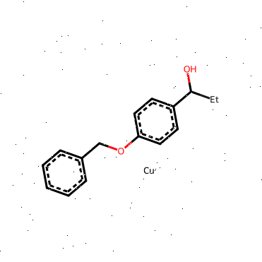 CCC(O)c1ccc(OCc2ccccc2)cc1.[Cu]